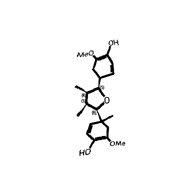 COC1=C(O)C=CC([C@H]2O[C@@H](C3(C)C=CC(O)=C(OC)C3)[C@@H](C)[C@H]2C)C1